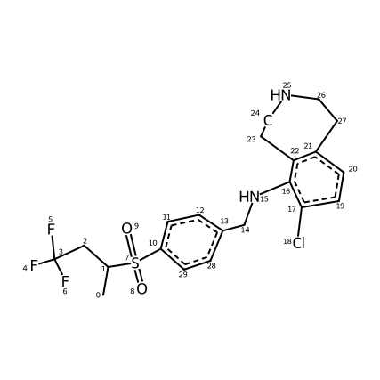 CC(CC(F)(F)F)S(=O)(=O)c1ccc(CNc2c(Cl)ccc3c2CCNCC3)cc1